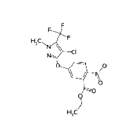 [CH2]COC(=O)c1cc(Oc2nn(C)c(C(F)(F)F)c2Cl)ccc1[N+](=O)[O-]